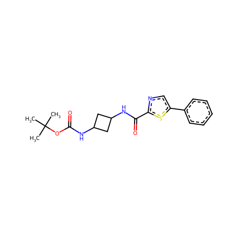 CC(C)(C)OC(=O)NC1CC(NC(=O)c2ncc(-c3ccccc3)s2)C1